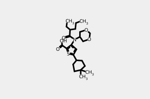 CCCC(CC)C(=O)N(c1cc(C2CCC(C)(C)CC2)sc1C(=O)O)C1COCOC1